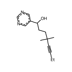 CCC#CC(C)(C)CCC(O)c1cncnc1